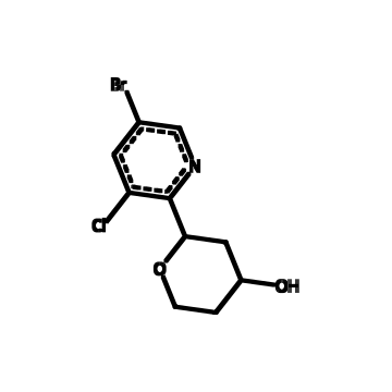 OC1CCOC(c2ncc(Br)cc2Cl)C1